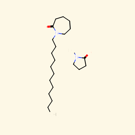 CCCCCCCCCCCCN1CCCCCC1=O.CN1CCCC1=O